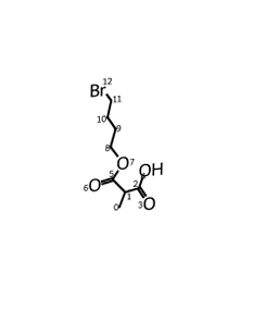 CC(C(=O)O)C(=O)OCCCCBr